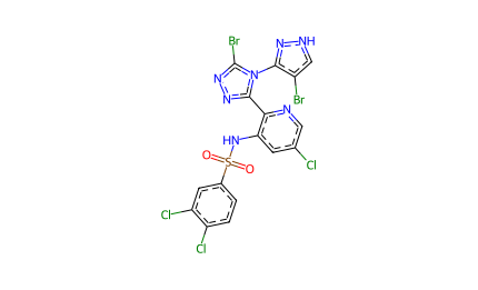 O=S(=O)(Nc1cc(Cl)cnc1-c1nnc(Br)n1-c1n[nH]cc1Br)c1ccc(Cl)c(Cl)c1